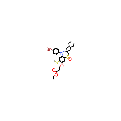 CCCCC1(CCCC)CN(c2ccc(Br)cc2)c2cc(SC)c(O/C=C/C(=O)OCC)cc2[S+]([O-])C1